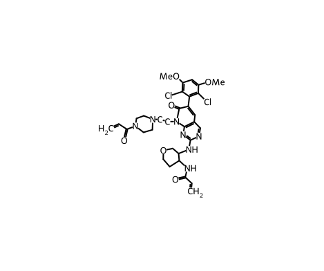 C=CC(=O)NC1CCOCC1Nc1ncc2cc(-c3c(Cl)c(OC)cc(OC)c3Cl)c(=O)n(CCN3CCN(C(=O)C=C)CC3)c2n1